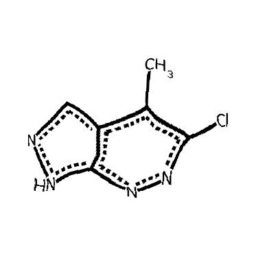 Cc1c(Cl)nnc2[nH]ncc12